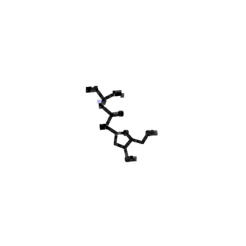 CS/C(N)=N/C(=O)NC1CC(OC(C)=O)C(COC(C)=O)O1